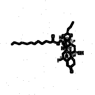 CCCCCCCCCCCC(=O)OCC(=O)[C@@]12OC(CCC)O[C@@H]1C[C@H]1[C@@H]3C[C@H](F)C4=CC(=O)CC[C@]4(C)[C@@]3(F)[C@@H](O)C[C@@]12C